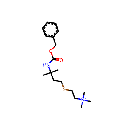 CC(C)(CCSCC[N+](C)(C)C)NC(=O)OCc1ccccc1